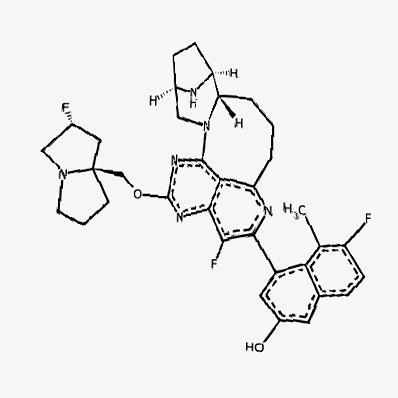 Cc1c(F)ccc2cc(O)cc(-c3nc4c5c(nc(OC[C@@]67CCCN6C[C@H](F)C7)nc5c3F)N3C[C@H]5CC[C@H](N5)[C@@H]3CCC4)c12